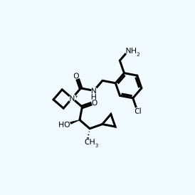 C[C@@H](C1CC1)[C@@H](O)C(=O)[N+]1(C(=O)NCc2cc(Cl)ccc2CN)CCC1